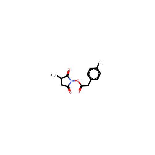 CC1CC(=O)N(OC(=O)Cc2ccc(C(F)(F)F)cc2)C1=O